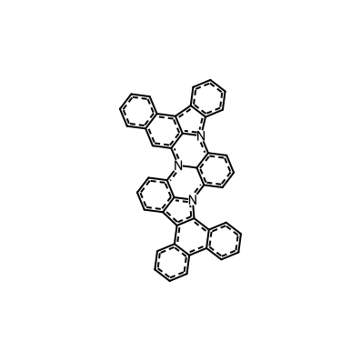 c1ccc2c(c1)cc1c3c2c2ccccc2n3c2cccc3c2-n1c1cccc2c4c5ccccc5c5ccccc5c4n3c21